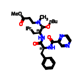 CCCCOB([C@H](CC(C)C)NC(=O)[C@H](Cc1ccccc1)NC(=O)c1cnccn1)N(C)CCC(=O)OC